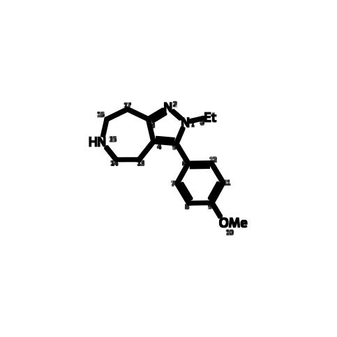 CCn1nc2c(c1-c1ccc(OC)cc1)CCNCC2